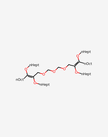 CCCCCCCCC(OCCCCCCC)=C(COCOCOCC(OCCCCCCC)=C(CCCCCCCC)OCCCCCCC)OCCCCCCC